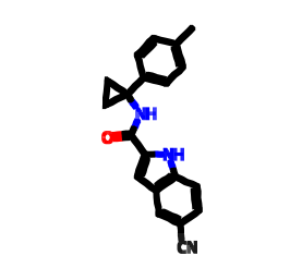 Cc1ccc(C2(NC(=O)c3cc4cc(C#N)ccc4[nH]3)CC2)cc1